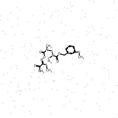 CSC(=NOC(=O)N(C)SN(C)C(=O)OCc1cccc(SC)c1)C(N)=O